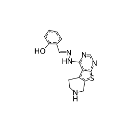 Oc1ccccc1/C=N/Nc1ncnc2sc3c(c12)CCNC3